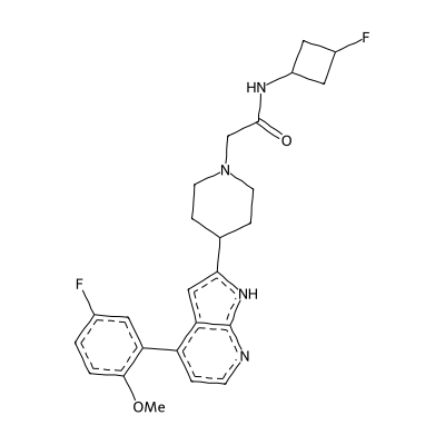 COc1ccc(F)cc1-c1ccnc2[nH]c(C3CCN(CC(=O)NC4CC(F)C4)CC3)cc12